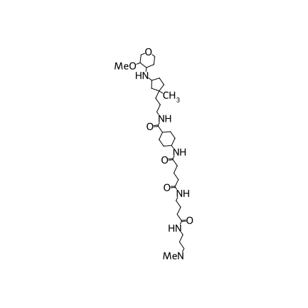 CNCCCNC(=O)CCCNC(=O)CCCC(=O)NC1CCC(C(=O)NCCCC2(C)CCC(NC3CCOCC3OC)C2)CC1